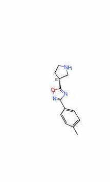 Cc1ccc(-c2noc([C@H]3CCNC3)n2)cc1